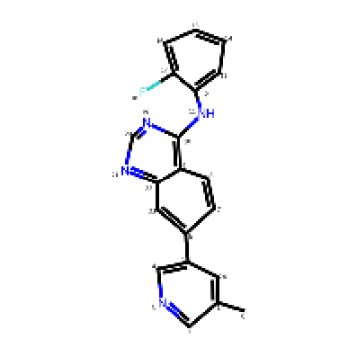 Cc1cncc(-c2ccc3c(Nc4ccccc4F)ncnc3c2)c1